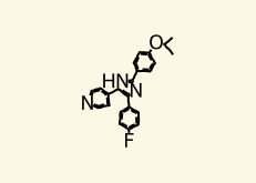 CC(C)Oc1ccc(-c2nc(-c3ccc(F)cc3)c(-c3ccncc3)[nH]2)cc1